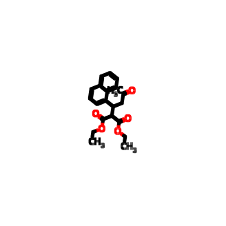 CCOC(=O)C(C(=O)OCC)C(CC(C)=O)c1cccc2ccccc12